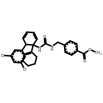 COC(=O)c1ccc(CNC(=O)NC2(C3=CCCCC3)C=CC=CC2c2cc(Cl)cc(Cl)c2)cc1